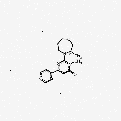 C[C@@H]1COCCCN1c1nc(-c2ccncn2)cc(=O)n1C